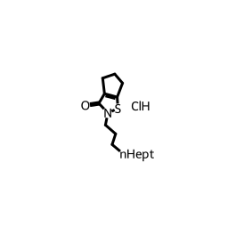 CCCCCCCCCCn1sc2c(c1=O)CCC2.Cl